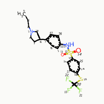 CCCN1CCC(c2ccc(NS(=O)(=O)c3ccc(SC(F)(F)F)cc3)cc2)C1